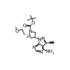 C#Cc1nn(C2C[C@H](CCOC)N(C(=O)OC(C)(C)C)C2)c2ncnc(N)c12